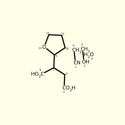 CC#N.CO.O.O=C(O)CC(C(=O)O)C1CCCO1